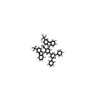 CC(C)(C)c1ccc2c(c1)c1ccccc1n2-c1cc(-c2cc(-c3ccccc3)nc(-c3ccccc3)n2)cc(-n2c3ccccc3c3cc(C(C)(C)C)ccc32)c1C#N